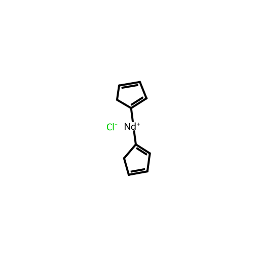 C1=CC[C]([Nd+][C]2=CC=CC2)=C1.[Cl-]